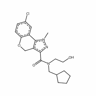 Cn1nc(C(=O)N(CCO)CC2CCCC2)c2c1-c1cc(Cl)ccc1OC2